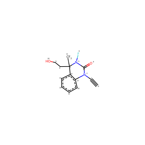 C#CN1C(=O)N(F)C(CCO)(C(F)(F)F)c2ccccc21